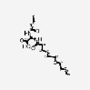 CCCC(=O)NC(NC(=O)CCSCCOCCSC)C(=O)O